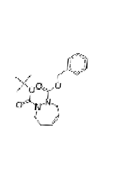 CC(C)(C)OC(=O)N1CCC=CCN1C(=O)OCc1ccccc1